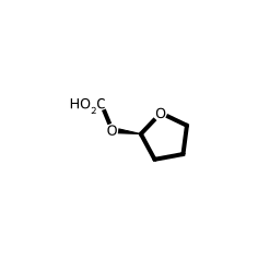 O=C(O)O[C@@H]1CCCO1